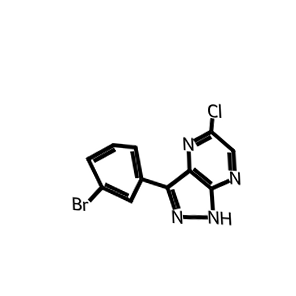 Clc1cnc2[nH]nc(-c3cccc(Br)c3)c2n1